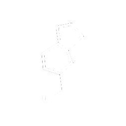 CCc1ccc2sccc2c1